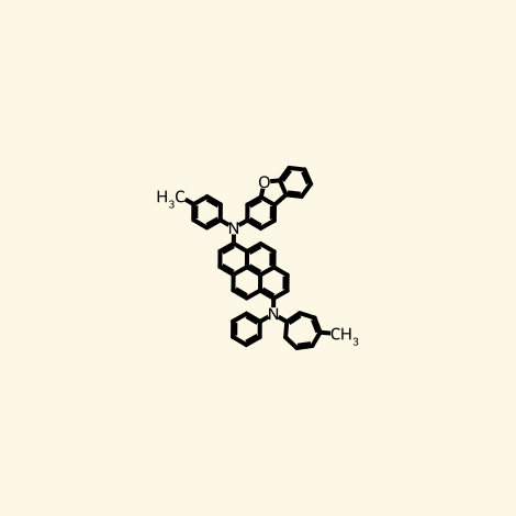 CC1=CC=C(N(c2ccccc2)c2ccc3ccc4c(N(c5ccc(C)cc5)c5ccc6c(c5)oc5ccccc56)ccc5ccc2c3c54)CC=C1